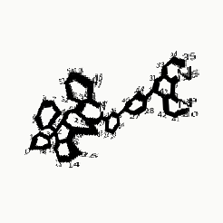 c1ccc(C2(c3ccccc3)c3ccccc3-c3cc4c(-c5cccc(-c6ccc(-c7cc8cccnc8c8ncccc78)cc6)c5)nc5ccccc5c4cc32)cc1